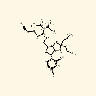 CCCC1(CCC)OC2C(COP(OCCC#N)N(C(C)C)C(C)C)OC(n3ccc(=O)[nH]c3=O)C2O1